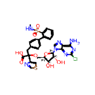 CNS(=O)(=O)c1ccccc1-c1ccc(CC(OC[C@H]2O[C@@H](n3cnc4c(N)nc(Cl)nc43)[C@H](O)[C@@H]2O)(C(=O)O)c2cscn2)cc1